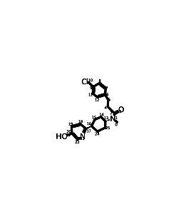 CN(C(=O)CCc1ccc(Cl)cc1)[C@H]1CC[C@H](c2ccc(O)cn2)CC1